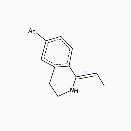 C/C=C1\NCCc2cc(C(C)=O)ccc21